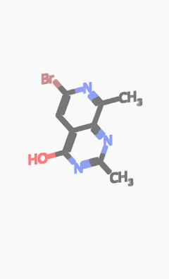 Cc1nc(O)c2cc(Br)nc(C)c2n1